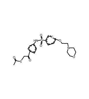 CC(=O)SCC(=O)c1ccc(NS(=O)(=O)c2ccc(OCCN3CCOCC3)cc2)cc1